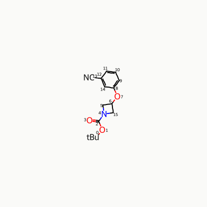 CC(C)(C)OC(=O)N1CC(Oc2cccc(C#N)c2)C1